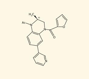 CC(=O)N1c2ccc(-c3cccnc3)cc2N(C(=O)c2ccco2)C[C@@H]1C